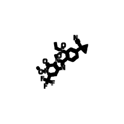 CCS(=O)(=O)c1cc(C2(C#N)CC2)ccc1-c1nc2cc(C(F)(F)F)n(OC)c(=O)c2n1C